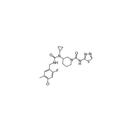 Cc1cc(CNC(=O)N(C2CC2)C2CCCN(C(=O)Nc3nncs3)C2)c(F)cc1Cl